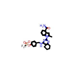 Cc1cc2c(C(N)=O)cccc2n1-c1nc2c(c(NCc3ccc(OS(=O)(=O)C(F)(F)F)cc3)n1)CCCC2